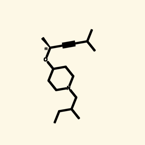 CCC(C)CN1CCC(O[C@@H](C)C#CC(C)C)CC1